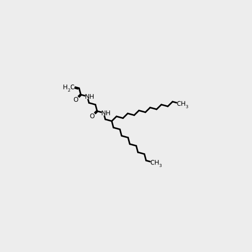 C=CC(=O)NCCC(=O)NCC(CCCCCCCCCC)CCCCCCCCCCCC